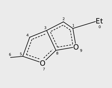 CCc1cc2cc(C)oc2o1